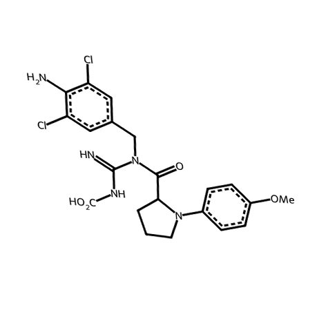 COc1ccc(N2CCCC2C(=O)N(Cc2cc(Cl)c(N)c(Cl)c2)C(=N)NC(=O)O)cc1